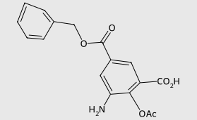 CC(=O)Oc1c(N)cc(C(=O)OCc2ccccc2)cc1C(=O)O